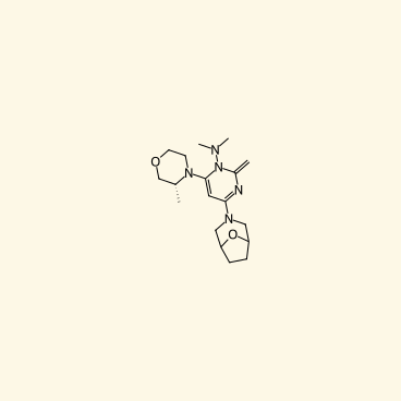 C=C1N=C(N2CC3CCC(C2)O3)C=C(N2CCOC[C@H]2C)N1N(C)C